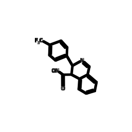 O=NC(=O)C1c2ccccc2C=NC1c1ccc(C(F)(F)F)cc1